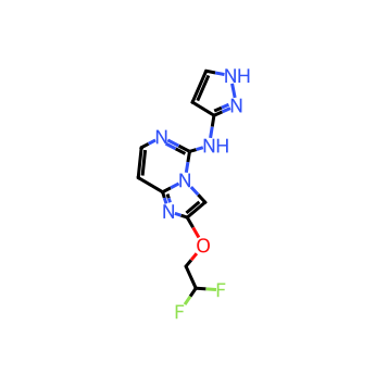 FC(F)COc1cn2c(Nc3cc[nH]n3)nccc2n1